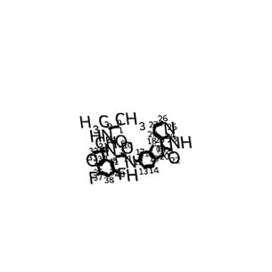 CCC(C)NC(=O)N(CC(=O)Nc1ccc2c(c1)C[C@@]1(C2)C(=O)Nc2ncccc21)C(C)(C=O)c1cc(F)cc(F)c1